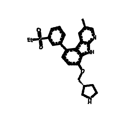 CCS(=O)(=O)c1cccc(-c2ccc(OC[C@@H]3CCNC3)c3[nH]c4ncc(C)cc4c23)c1